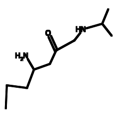 CCCC(N)CC(=O)CNC(C)C